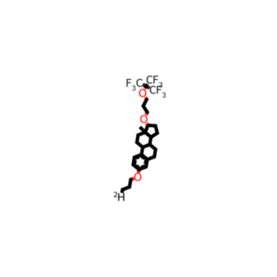 [2H]CCCOc1ccc2c(c1)CCC1C2CCC2(C)C(OCCCOC(C(F)(F)F)(C(F)(F)F)C(F)(F)F)CCC12